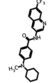 CN(c1ccc(C(=O)Nc2cnc3cc(C(F)(F)F)ccc3c2)cc1)C1CCCCC1